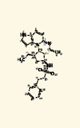 C=N/N=c1/cnc2[nH]ccc2n1C1C[C@@H](NS(=O)(=O)CCc2ccccn2)C[C@H]1CC